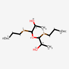 CCCCCCCCCCCCSC(OC(SCCCCCCCCCCCC)C(C)O)C(C)O